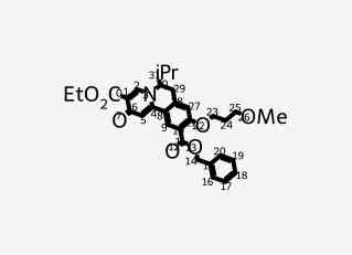 CCOC(=O)c1cn2c(cc1=O)-c1cc(C(=O)OCc3ccccc3)c(OCCCOC)cc1CC2C(C)C